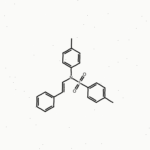 Cc1ccc(N(C=Cc2ccccc2)S(=O)(=O)c2ccc(C)cc2)cc1